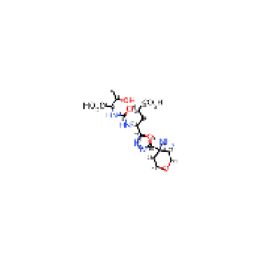 CC(O)C(NC(=O)NC(CCC(=O)O)c1nnc(C2(N)CCOCC2)o1)C(=O)O